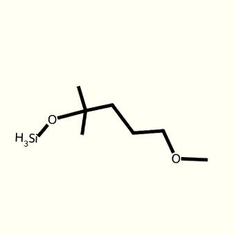 COCCCC(C)(C)O[SiH3]